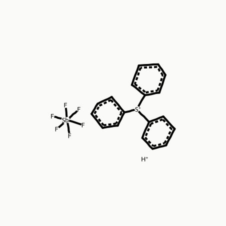 [F][Sb-]([F])([F])([F])([F])[F].[H+].c1ccc([S+](c2ccccc2)c2ccccc2)cc1